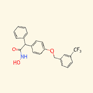 O=C(NO)C(c1ccccc1)c1ccc(OCc2cccc(C(F)(F)F)c2)cc1